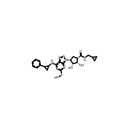 CCCSc1nc(NC2CC2c2ccccc2)c2nnn([C@H]3C[C@@H](C(=O)NCC4CC4)[C@H](O)[C@@H]3O)c2n1